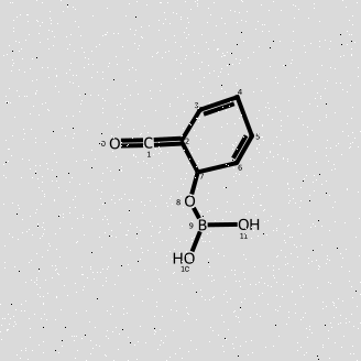 O=C=C1C=CC=CC1OB(O)O